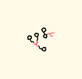 OP(O)Oc1ccccc1-c1ccccc1.c1ccc(CCOP(OCCc2ccccc2)OCCc2ccccc2)cc1